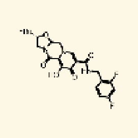 CCCC[C@H]1CN2C(=O)c3c(O)c(=O)c(C(=O)NCc4ccc(F)cc4F)cn3CC2O1